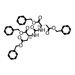 O=C(N[C@@H](CC(=O)OCc1ccccc1)C(=O)OCc1ccccc1)N[C@@H](CC(=O)OCc1ccccc1)C(=O)OCc1ccccc1